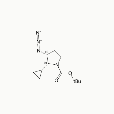 CC(C)(C)OC(=O)N1CC[C@@H](N=[N+]=[N-])[C@H]1C1CC1